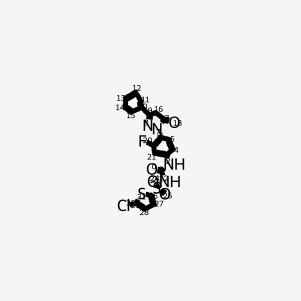 O=C(Nc1ccc(N2N=C(c3ccccc3)CC2=O)c(F)c1)NS(=O)(=O)c1ccc(Cl)s1